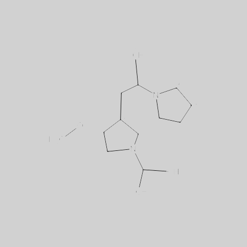 CO[C@H]1CN(C(C)C)CC1CC(C)N1CCCC1